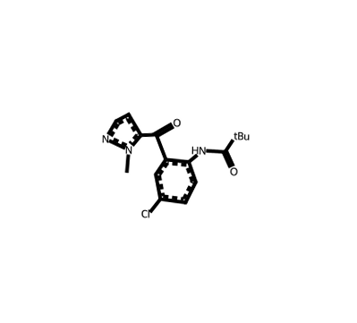 Cn1nccc1C(=O)c1cc(Cl)ccc1NC(=O)C(C)(C)C